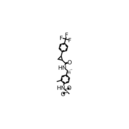 Cc1cc([C@@H](C)NC(=O)C2CC2c2ccc(C(F)(F)F)cc2)ccc1NS(C)(=O)=O